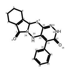 O=C1C2=C(CCCC2)C2Sc3n[nH]c(=O)c(-c4ccccc4)c3NN12